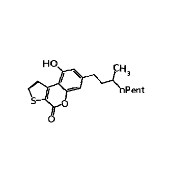 CCCCCC(C)CCc1cc(O)c2c3c(c(=O)oc2c1)SCC3